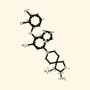 Cc1cc(N2CCC3(CC2)CO[C@@H](C)[C@H]3N)n2cnnc2c1Sc1cccc(Cl)c1Cl